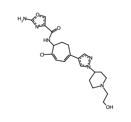 Nc1nc(C(=O)NC2CCC(c3cnn(C4CCN(CCO)CC4)c3)=CC=C2Cl)co1